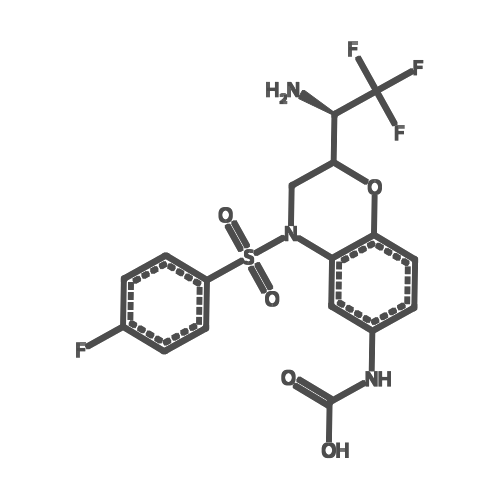 N[C@H](C1CN(S(=O)(=O)c2ccc(F)cc2)c2cc(NC(=O)O)ccc2O1)C(F)(F)F